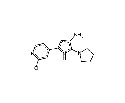 Nc1cc(-c2ccnc(Cl)c2)[nH]c1N1CCCC1